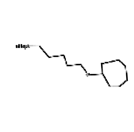 CCCCCCCCCCCC[P]C1CCCCCC1